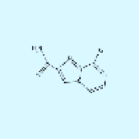 NC(=O)c1cn2cccc(Br)c2n1